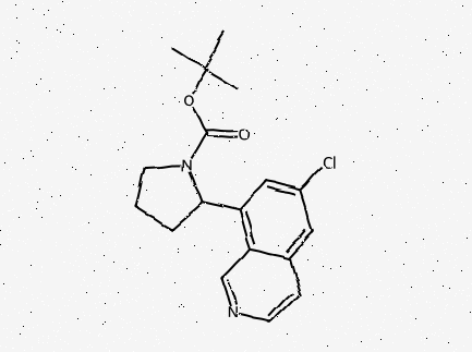 CC(C)(C)OC(=O)N1CCCC1c1cc(Cl)cc2ccncc12